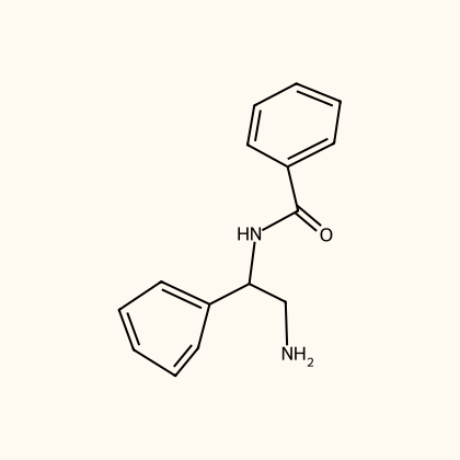 NCC(NC(=O)c1ccccc1)c1ccccc1